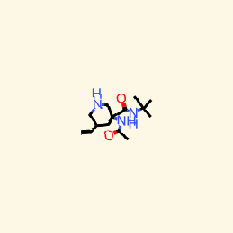 C=CC1CNCC(NC(C)=O)(C(=O)NC(C)(C)C)C1